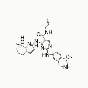 C=CCNC(=O)c1cnc(Nc2ccc3c(c2)CNCC32CC2)nc1Nc1ccc2c(n1)[C@@](C)(O)CCC2